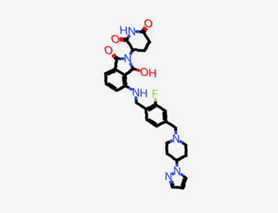 O=C1CCC(N2C(=O)c3cccc(NCc4ccc(CN5CCC(n6cccn6)CC5)cc4F)c3C2O)C(=O)N1